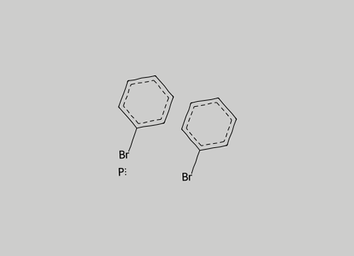 Brc1ccccc1.Brc1ccccc1.[P]